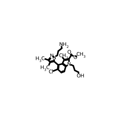 COC(=O)c1c(C)c2c(-c3c(C)c(C)nn3CCCN)c(Cl)ccc2n1CCCO